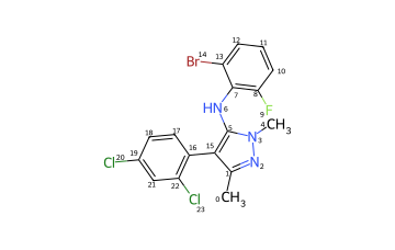 Cc1nn(C)c(Nc2c(F)cccc2Br)c1-c1ccc(Cl)cc1Cl